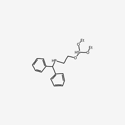 CCO[SiH](OCC)OCCPC(c1ccccc1)c1ccccc1